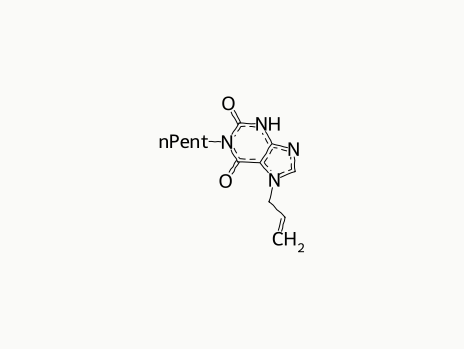 C=CCn1cnc2[nH]c(=O)n(CCCCC)c(=O)c21